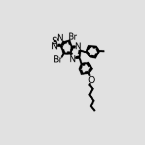 CCCCCCOc1ccc(-c2nc3c(Br)c4nsnc4c(Br)c3nc2-c2ccc(C)cc2)cc1